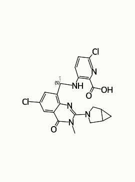 C[C@H](Nc1ccc(Cl)nc1C(=O)O)c1cc(Cl)cc2c(=O)n(C)c(N3CC4CC4C3)nc12